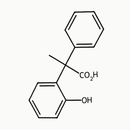 CC(C(=O)O)(c1ccccc1)c1ccccc1O